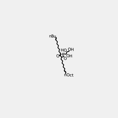 CCCCC=CCCCCCCCC(=O)C(CCCCCCC=CCCCCCCCC)C(=O)PC(O)C(O)CO